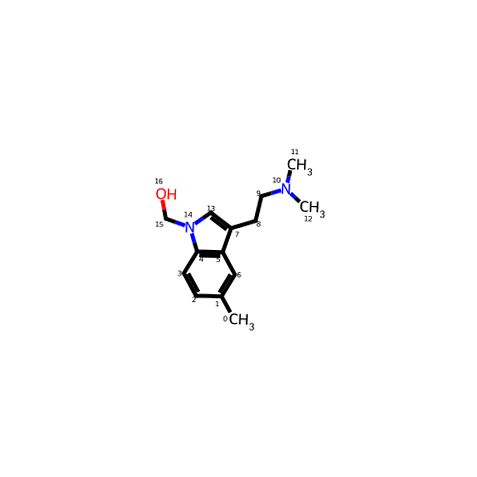 Cc1ccc2c(c1)c(CCN(C)C)cn2CO